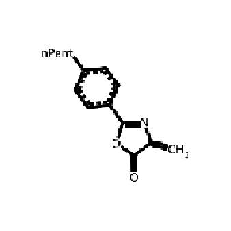 C=C1N=C(c2ccc(CCCCC)cc2)OC1=O